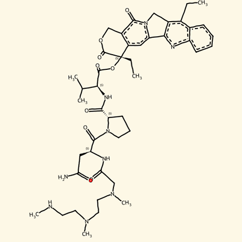 CCc1c2c(nc3ccccc13)-c1cc3c(c(=O)n1C2)COC(=O)[C@@]3(CC)OC(=O)[C@@H](NC(=O)[C@@H]1CCCN1C(=O)[C@H](CC(N)=O)NC(=O)CN(C)CCN(C)CCNC)C(C)C